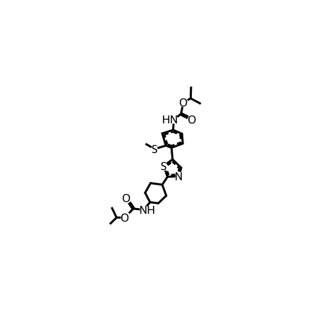 CSc1cc(NC(=O)OC(C)C)ccc1-c1cnc(C2CCC(NC(=O)OC(C)C)CC2)s1